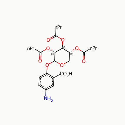 CCCC(=O)O[C@H]1[C@H](OC(=O)CCC)COC(Oc2ccc(N)cc2C(=O)O)[C@@H]1OC(=O)CCC